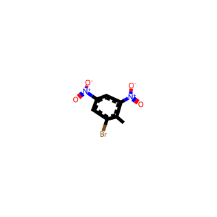 Cc1c(Br)cc([N+](=O)[O-])cc1[N+](=O)[O-]